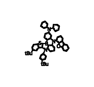 CC(C)(C)c1ccc(N2c3cccc4c3B(c3ccc(N(c5ccccc5)c5ccccc5)cc3N4c3cccc4c3oc3ccccc34)c3sc4ccc(C(C)(C)C)cc4c32)cc1